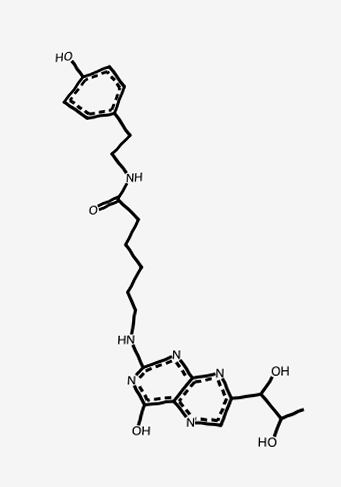 CC(O)C(O)c1cnc2c(O)nc(NCCCCCC(=O)NCCc3ccc(O)cc3)nc2n1